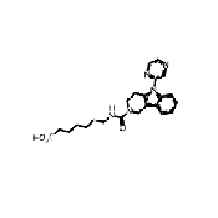 O=C(O)CCCCCCNC(=O)N1CCc2c(c3ccccc3n2-c2cnccn2)C1